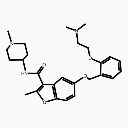 Cc1oc2ccc(OCc3ccccc3OCCN(C)C)cc2c1C(=O)NC1CCN(C)CC1